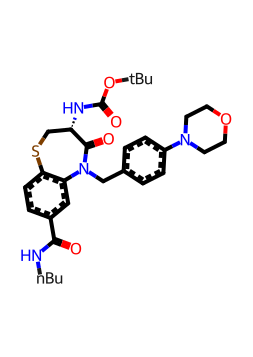 CCCCNC(=O)c1ccc2c(c1)N(Cc1ccc(N3CCOCC3)cc1)C(=O)[C@@H](NC(=O)OC(C)(C)C)CS2